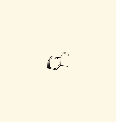 Cc1cc#ccc1[N+](=O)[O-]